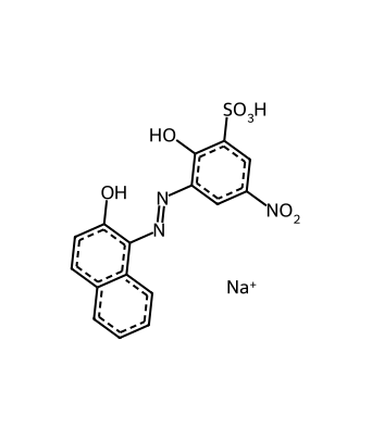 O=[N+]([O-])c1cc(N=Nc2c(O)ccc3ccccc23)c(O)c(S(=O)(=O)O)c1.[Na+]